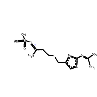 N=S(=O)(O)/N=C(\N)CCSCc1csc(N=C(N)N)n1